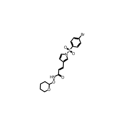 O=C(C=Cc1ccn(S(=O)(=O)c2ccc(Br)cc2)c1)NOC1CCCCO1